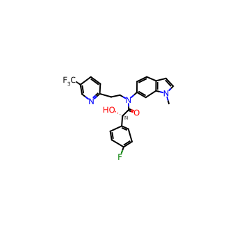 Cn1ccc2ccc(N(CCc3ccc(C(F)(F)F)cn3)C(=O)[C@@H](O)c3ccc(F)cc3)cc21